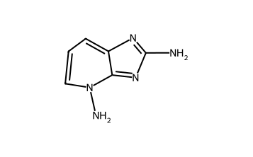 Nc1nc2cccn(N)c-2n1